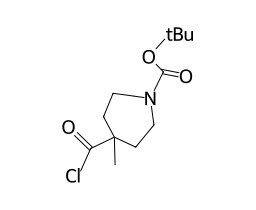 CC(C)(C)OC(=O)N1CCC(C)(C(=O)Cl)CC1